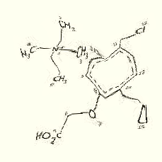 C[N+](C)(C)C.O=C(O)COc1ccc(Cl)cc1Cl